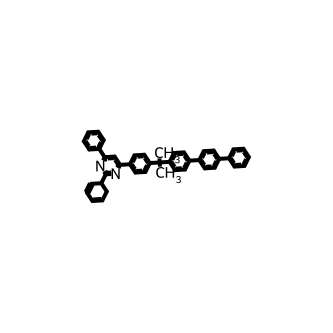 CC(C)(c1ccc(-c2ccc(-c3ccccc3)cc2)cc1)c1ccc(-c2cc(-c3ccccc3)nc(C3C#CC=CC3)n2)cc1